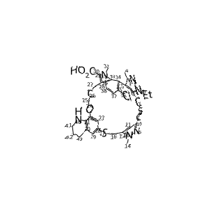 CCn1nc(C)c2c1CSCc1cc(n(C)n1)CSc1cc3c(c(c1)OCCCc1c(C(=O)O)n(C)c4c-2c(Cl)ccc14)NCCC3